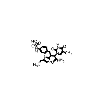 CCc1csc(C(Cc2[c]cc(NS(=O)(=O)O)cc2)C(C(N)=O)n2cc(C)c(=O)[nH]c2=O)n1